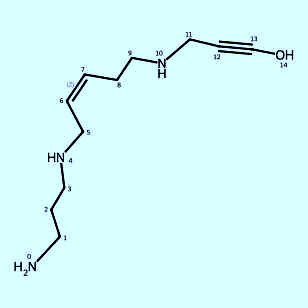 NCCCNC/C=C\CCNCC#CO